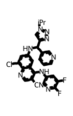 CC(C)n1cc(C(Nc2cc(Cl)c3ncc(C#N)c(Nc4cnc(F)c(F)c4)c3c2)c2cccnc2)nn1